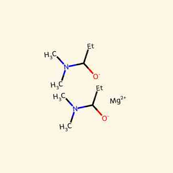 CCC([O-])N(C)C.CCC([O-])N(C)C.[Mg+2]